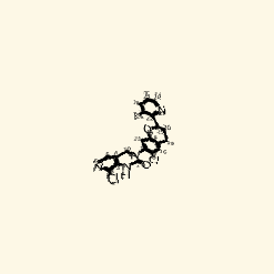 O=C1Nc2c(ccnc2Cl)CN1c1cc2c(cc1Cl)CCC(c1ncccc1F)O2